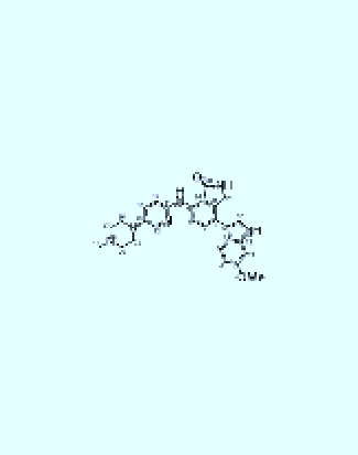 COc1ccc2c(-c3ccc(Nc4ccc(N5CCN(C)CC5)cn4)c4c3CNC4=O)c[nH]c2c1